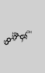 OCc1cnc2c(F)cc(-c3c[nH]c4nc(-c5ccc6ncccc6c5)ncc34)cn12